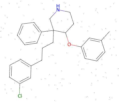 Cc1cccc(OC2CCNCC2(CCCc2cccc(Cl)c2)c2ccccc2)c1